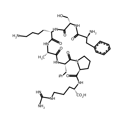 CC(C)C[C@H](NC(=O)[C@H](C)NC(=O)[C@H](CCCCN)NC(=O)[C@H](CO)NC(=O)[C@@H](N)Cc1ccccc1)C(=O)N1CCC[C@H]1C(=O)N[C@@H](CCCNC(=N)N)C(=O)O